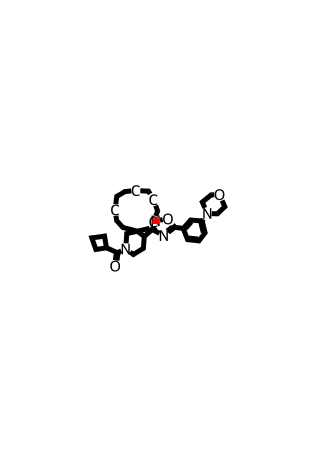 O=C(C1CCC1)N1CCC(c2noc(-c3cccc(N4CCOCC4)c3)n2)C2(CCCCCCCCCCC2)C1